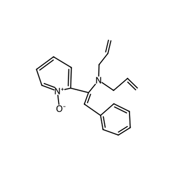 C=CCN(CC=C)C(=Cc1ccccc1)c1cccc[n+]1[O-]